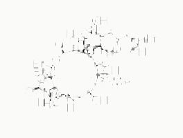 CC[C@H]1OC(=O)C(C)C(=O)[C@H](C)[C@@H](OC2OC(CN(C)C(C)C)CC(N(C)C)C2O)[C@](C)(OC)C[C@@H](C)CN[C@H](C)[C@H]2NC(=O)O[C@@]21CC